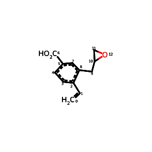 C=Cc1ccc(C(=O)O)cc1CC1CO1